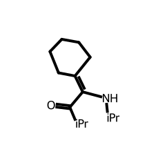 CC(C)NC(C(=O)C(C)C)=C1CCCCC1